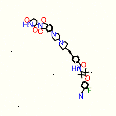 CC1(C)[C@H](NC(=O)c2ccc(C#CC3CCN(C4CCN(c5ccc6c(c5)C(=O)N(C5CCC(=O)NC5=O)C6=O)CC4)CC3)cc2)C(C)(C)[C@H]1Oc1ccc(C#N)c(F)c1